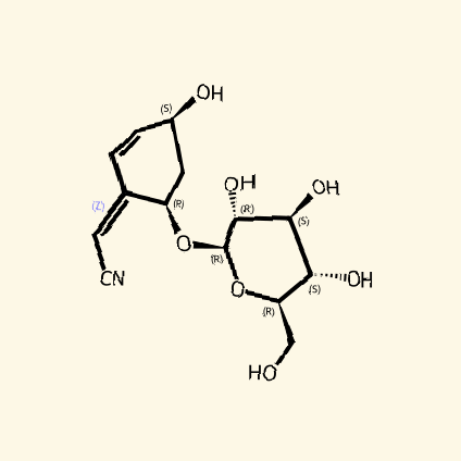 N#C/C=C1/C=C[C@@H](O)C[C@H]1O[C@@H]1O[C@H](CO)[C@@H](O)[C@H](O)[C@H]1O